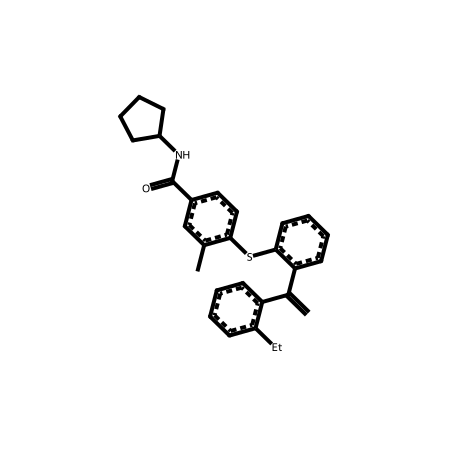 C=C(c1ccccc1CC)c1ccccc1Sc1ccc(C(=O)NC2CCCC2)cc1C